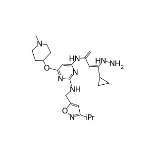 C=C(/C=C(\NN)C1CC1)Nc1cc(OC2CCN(C)CC2)nc(NCc2cc(C(C)C)no2)n1